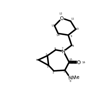 CNC1CC2CC2CN(CC2CCOCC2)C1=O